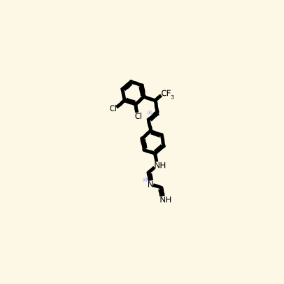 N=C/N=C\Nc1ccc(/C=C/C(c2cccc(Cl)c2Cl)C(F)(F)F)cc1